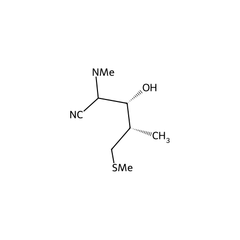 CNC(C#N)[C@H](O)[C@H](C)CSC